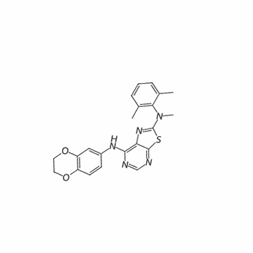 Cc1cccc(C)c1N(C)c1nc2c(Nc3ccc4c(c3)OCCO4)ncnc2s1